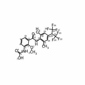 COc1c(NC(=O)O)cccc1C(=O)Nc1c(C)cc(C(C(F)(F)F)C(F)(F)F)cc1C